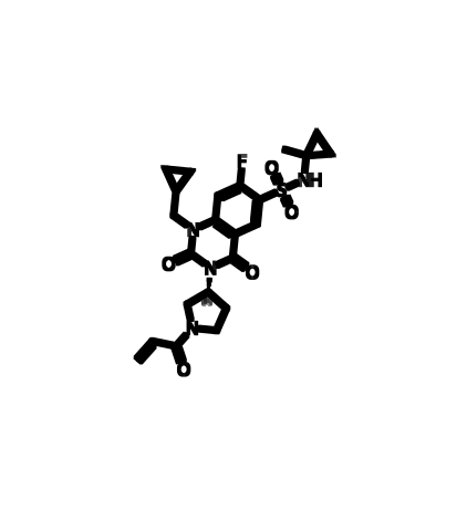 C=CC(=O)N1CC[C@@H](n2c(=O)c3cc(S(=O)(=O)NC4(C)CC4)c(F)cc3n(CC3CC3)c2=O)C1